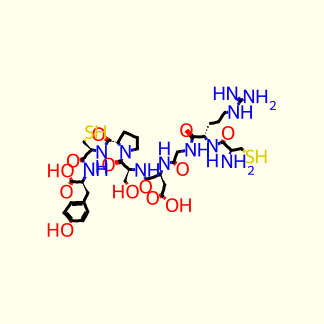 N=C(N)NCCC[C@H](NC(=O)[C@H](N)CS)C(=O)NCC(=O)N[C@@H](CC(=O)O)C(=O)N[C@@H](CO)C(=O)N1CCC[C@H]1C(=O)N[C@H](CS)C(=O)N[C@@H](Cc1ccc(O)cc1)C(=O)O